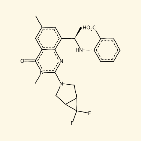 Cc1cc([C@@H](C)Nc2ccccc2C(=O)O)c2nc(N3CC4C(C3)C4(F)F)n(C)c(=O)c2c1